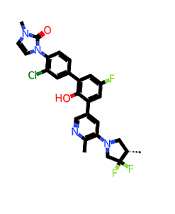 Cc1ncc(-c2cc(F)cc(-c3ccc(-n4ccn(C)c4=O)c(Cl)c3)c2O)cc1N1C[C@H](C)C(F)(F)C1